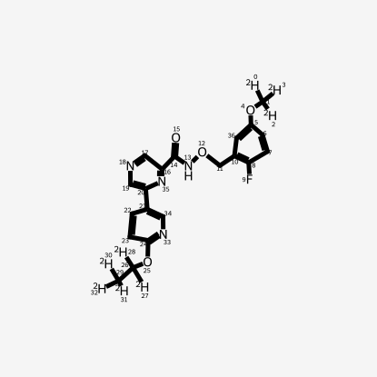 [2H]C([2H])([2H])Oc1ccc(F)c(CONC(=O)c2cncc(-c3ccc(OC([2H])([2H])C([2H])([2H])[2H])nc3)n2)c1